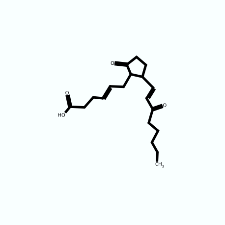 CCCCCC(=O)C=CC1CCC(=O)C1CC=CCCC(=O)O